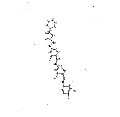 Cc1ccc(N=Nc2ccc(N=Nc3ccc(N=Nc4ccc(N5CCCCC5)s4)cc3C)cc2Cl)cc1C